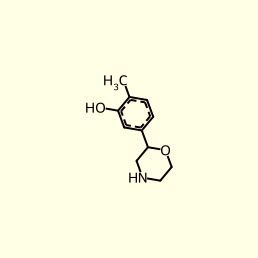 Cc1ccc(C2CNCCO2)cc1O